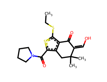 CCSc1sc(C(=O)N2CCCC2)c2c1C(=O)C(=CO)C(C)(C)C2